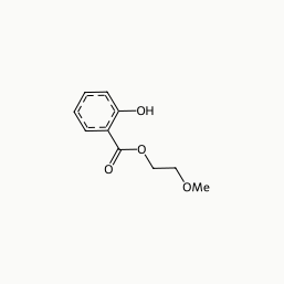 COCCOC(=O)c1ccccc1O